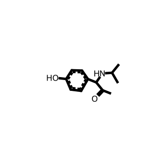 CC(=O)C(NC(C)C)c1ccc(O)cc1